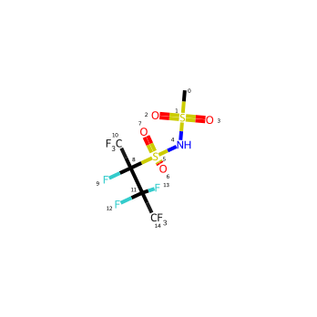 CS(=O)(=O)NS(=O)(=O)C(F)(C(F)(F)F)C(F)(F)C(F)(F)F